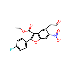 CCOC(=O)c1c(-c2ccc(F)cc2)oc2cc([N+](=O)[O-])c(CC=O)cc12